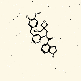 COc1ccc(Cc2ccnc(N(CC3(CO)COC3)C(=O)c3cccc4c3CCN4)c2)cc1F